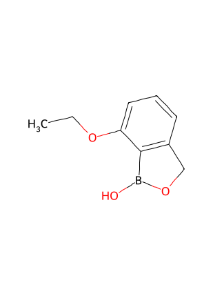 CCOc1cccc2c1B(O)OC2